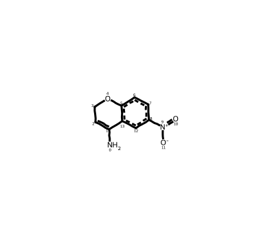 NC1=CCOc2ccc([N+](=O)[O-])cc21